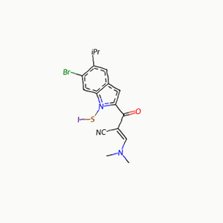 CC(C)c1cc2cc(C(=O)/C(C#N)=C/N(C)C)n(SI)c2cc1Br